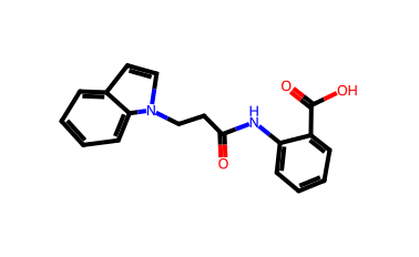 O=C(CCn1ccc2ccccc21)Nc1ccccc1C(=O)O